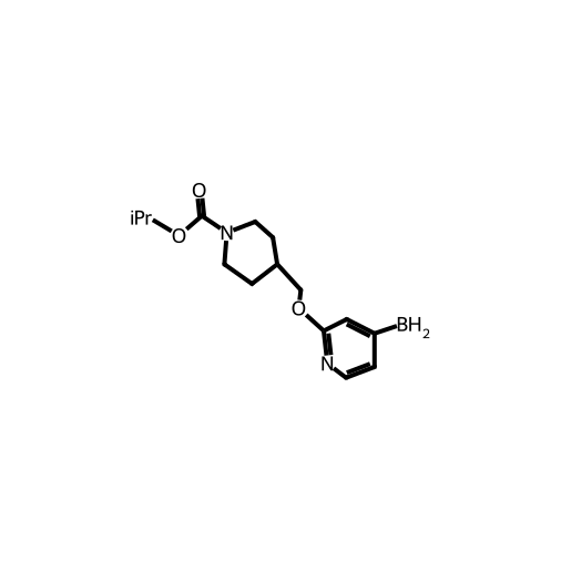 Bc1ccnc(OCC2CCN(C(=O)OC(C)C)CC2)c1